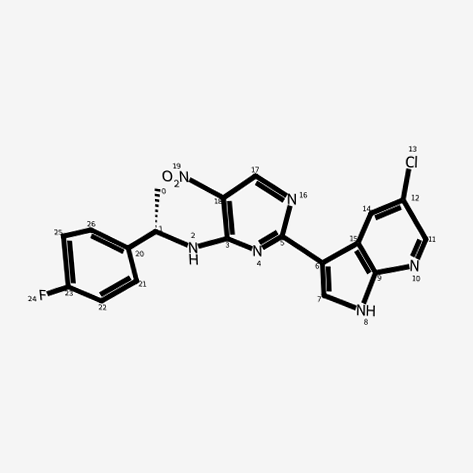 C[C@H](Nc1nc(-c2c[nH]c3ncc(Cl)cc23)ncc1[N+](=O)[O-])c1ccc(F)cc1